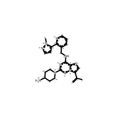 C=C(C)c1cnc2c(NCc3cccnc3-c3ccnn3C)nc(N3CCC(N)CC3)nn12